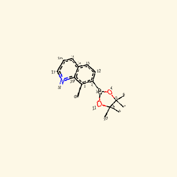 Cc1c(B2OC(C)(C)C(C)(C)O2)ccc2cccnc12